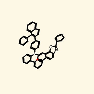 c1ccc(-c2nc3ccc4ccc(N(c5ccc(-c6ccc7ccccc7c6-c6ccccc6)cc5)c5ccccc5-c5ccccc5)cc4c3o2)cc1